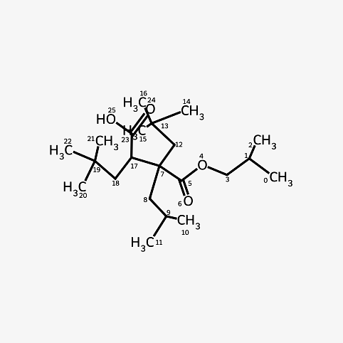 CC(C)COC(=O)C(CC(C)C)(CC(C)(C)C)C(CC(C)(C)C)C(=O)O